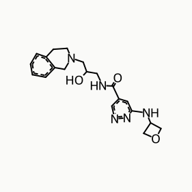 O=C(NCC(O)CN1CCc2ccccc2C1)c1cnnc(NC2COC2)c1